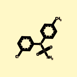 Cc1ccc(N(c2cccc(Cl)c2)S(N)(=O)=O)cc1